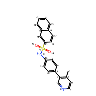 Cc1ccncc1-c1ccc(NS(=O)(=O)c2ccc3ccccc3c2)cc1